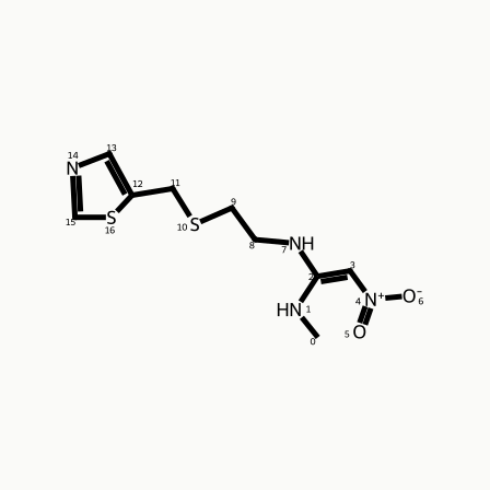 CNC(=C[N+](=O)[O-])NCCSCc1cncs1